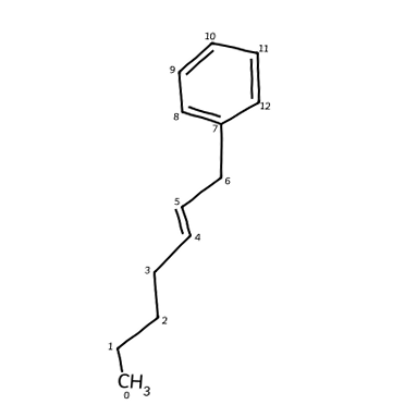 CCCCC=CCc1ccccc1